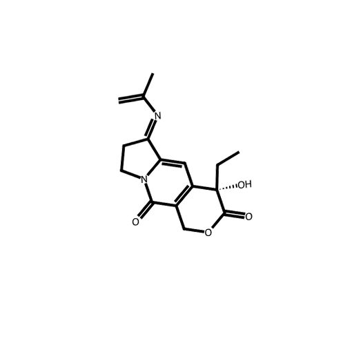 C=C(C)/N=C1\CCn2c1cc1c(c2=O)COC(=O)[C@]1(O)CC